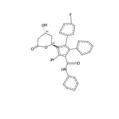 CC(C)c1c(C(=O)Nc2ccccc2)c(-c2ccccc2)c(-c2ccc(F)cc2)n1[C@@H]1C[C@@H](O)CC(=O)O1